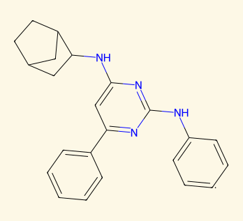 [c]1ccc(Nc2nc(NC3CC4CCC3C4)cc(-c3ccccc3)n2)cc1